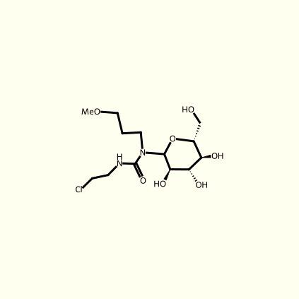 COCCCN(C(=O)NCCCl)C1O[C@H](CO)[C@@H](O)[C@H](O)[C@H]1O